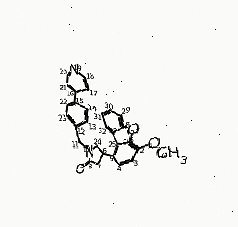 COc1ccc(C2CC(=O)N(Cc3ccc(-c4ccncc4)cc3)C2)c2c1oc1ccccc12